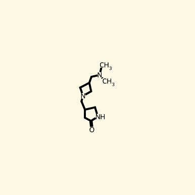 CN(C)CC1CN(CC2CNC(=O)C2)C1